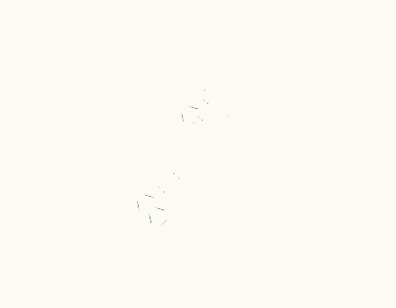 CCOC(=O)OCN1C(=O)CCc2ccc(OCCCCN3CCN(c4cccc5ccccc45)CC3)nc21